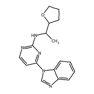 CC(Nc1nccc(-n2cnc3ccccc32)n1)C1CCCO1